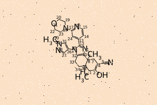 C[C@H]1C(O)=C(C#N)C[C@@]2(C)c3nc(-c4ccnc(N5CCOCC5)c4)n(-c4cnn(C)c4)c3CC[C@H]12